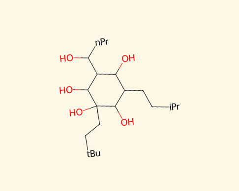 CCCC(O)C1C(O)C(CCC(C)C)C(O)C(O)(CCC(C)(C)C)C1O